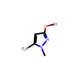 CCOc1cc([N+](=O)[O-])n(C)n1